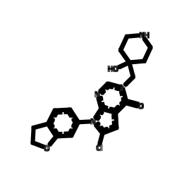 O=c1c2cc(Cl)n(-c3ccc4c(c3)OCC4)c2ncn1CC1(O)CCNCC1